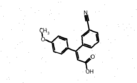 COc1ccc(C(=CC(=O)O)c2cccc(C#N)c2)cc1